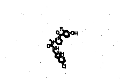 CN(C(=O)NCc1cc2cc(Cl)ccc2[nH]1)[C@@H]1CCCN(C(=O)c2ccc(O)cc2F)C1